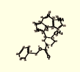 CC1CCN(C(=O)OCc2ccccc2)CC1c1nnc2cnc3[nH]ccc3n12